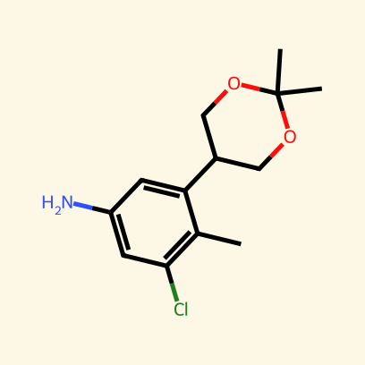 Cc1c(Cl)cc(N)cc1C1COC(C)(C)OC1